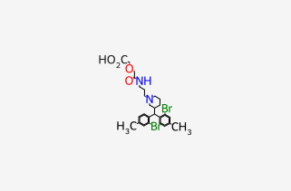 Cc1ccc(C(c2ccc(C)cc2Br)C2CCCN(CCCNC(=O)COCC(=O)O)C2)c(Br)c1